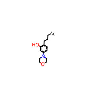 CC(=O)CCCc1ccc(N2CCOCC2)cc1O